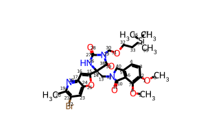 COc1ccc2c(c1OC)C(=O)N(C[C@@]1(c3cc4nc(C)c(Br)cc4o3)NC(=O)N(COCC[Si](C)(C)C)C1=O)C2